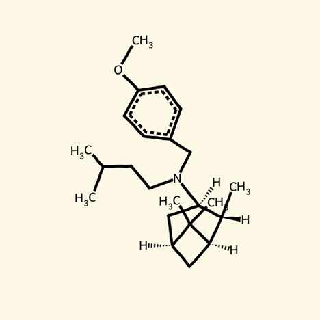 COc1ccc(CN(CCC(C)C)[C@@H]2C[C@@H]3C[C@H]([C@H]2C)C3(C)C)cc1